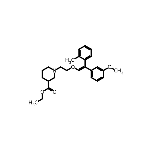 CCOC(=O)C1CCCN(CCOC=C(c2cccc(OC)c2)c2ccccc2C)C1